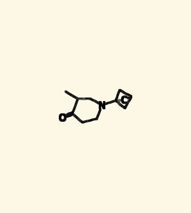 CC1CN(C23CC(C2)C3)CCC1=O